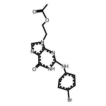 CC(=O)OCCn1cnc2c(=O)[nH]c(Nc3ccc(Br)cc3)nc21